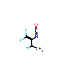 O=C=NC(=C(F)F)C(F)C(F)(F)F